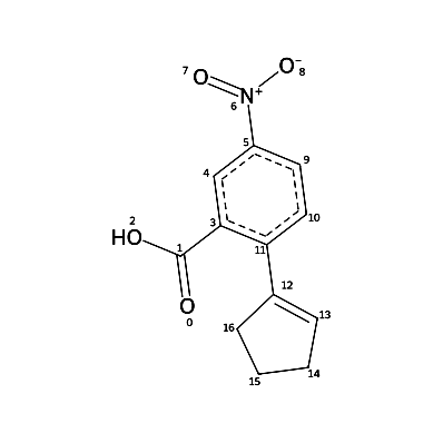 O=C(O)c1cc([N+](=O)[O-])ccc1C1=CCCC1